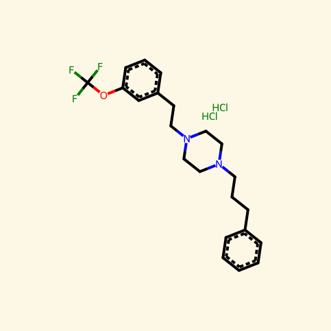 Cl.Cl.FC(F)(F)Oc1cccc(CCN2CCN(CCCc3ccccc3)CC2)c1